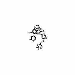 Cc1cc(-c2nc3c(cc2Cl)N2CC[C@@H](C2)N3C(=O)Nc2cc(OCC3COC(C)(C)O3)ncn2)ccn1